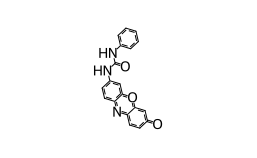 O=C(Nc1ccccc1)Nc1ccc2nc3ccc(=O)cc-3oc2c1